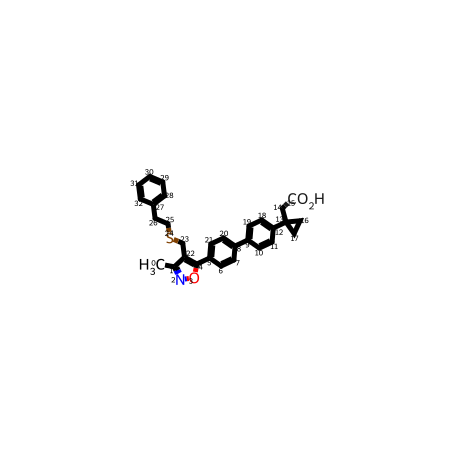 Cc1noc(-c2ccc(-c3ccc(C4(CC(=O)O)CC4)cc3)cc2)c1CSCCc1ccccc1